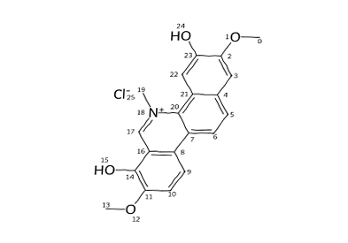 COc1cc2ccc3c4ccc(OC)c(O)c4c[n+](C)c3c2cc1O.[Cl-]